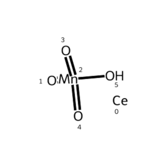 [Ce].[O]=[Mn](=[O])(=[O])[OH]